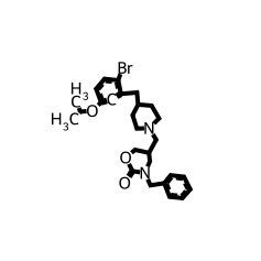 CC(C)Oc1ccc(Br)c(CC2CCN(CC3COC(=O)N(Cc4ccccc4)C3)CC2)c1